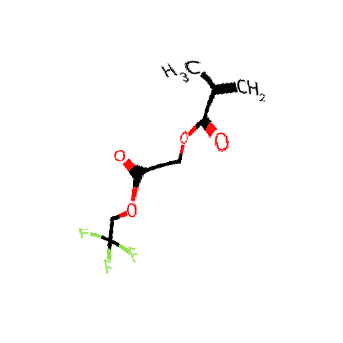 C=C(C)C(=O)OCC(=O)OCC(F)(F)F